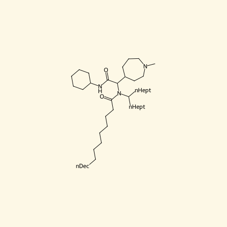 CCCCCCCCCCCCCCCCCC(=O)N(C(CCCCCCC)CCCCCCC)C(C(=O)NC1CCCCC1)C1CCCN(C)CC1